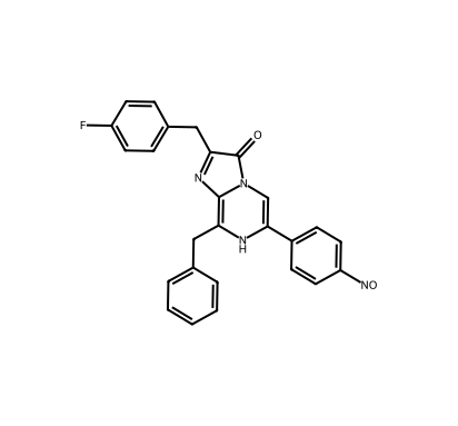 O=Nc1ccc(-c2cn3c(=O)c(Cc4ccc(F)cc4)nc-3c(Cc3ccccc3)[nH]2)cc1